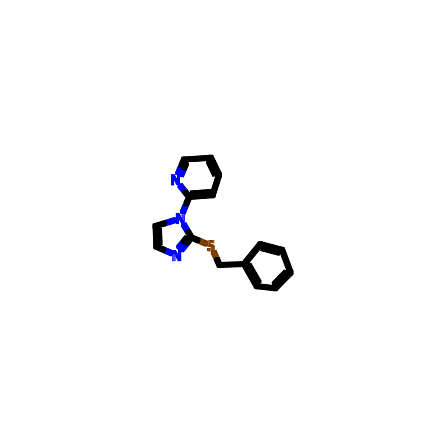 c1ccc(CSc2nccn2-c2ccccn2)cc1